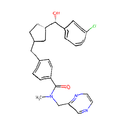 CN(Cc1cnccn1)C(=O)c1ccc(CC2CC[C@H]([C@H](O)c3cccc(Cl)c3)C2)cc1